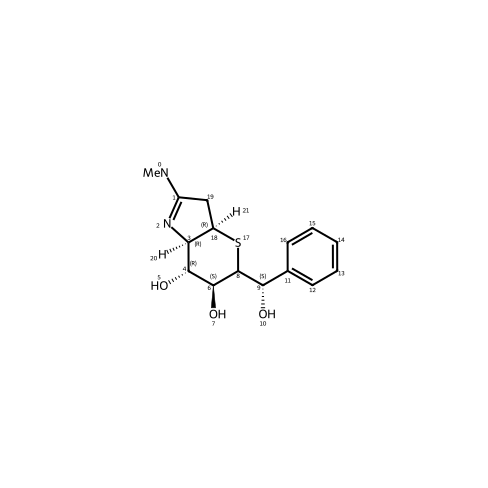 CNC1=N[C@@H]2[C@@H](O)[C@H](O)C([C@@H](O)c3ccccc3)S[C@@H]2C1